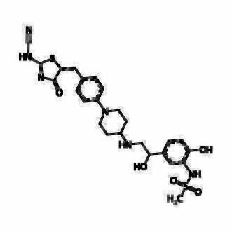 CS(=O)(=O)Nc1cc(C(O)CNC2CCN(c3ccc(/C=C4/SC(NC#N)=NC4=O)cc3)CC2)ccc1O